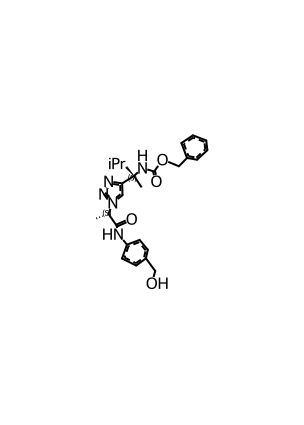 CC(C)[C@](C)(NC(=O)OCc1ccccc1)c1cn([C@@H](C)C(=O)Nc2ccc(CO)cc2)nn1